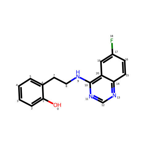 Oc1ccccc1CCNc1ncnc2ccc(F)cc12